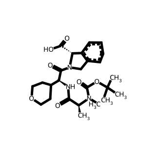 C[C@@H](C(=O)N[C@H](C(=O)N1Cc2ccccc2[C@H]1C(=O)O)C1CCOCC1)N(C)C(=O)OC(C)(C)C